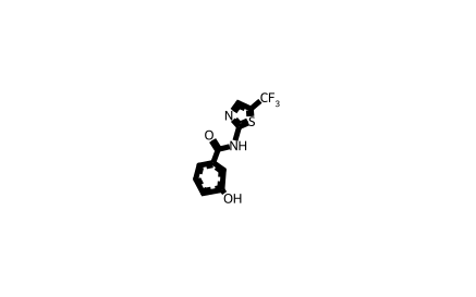 O=C(Nc1ncc(C(F)(F)F)s1)c1cccc(O)c1